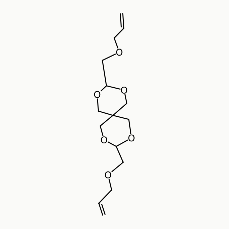 C=CCOCC1OCC2(CO1)COC(COCC=C)OC2